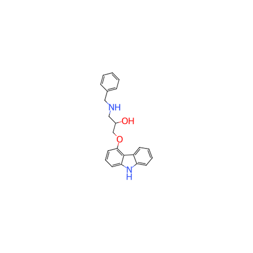 OC(CNCc1ccccc1)COc1cccc2[nH]c3ccccc3c12